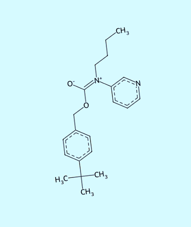 CCCC[N+](=C([O-])OCc1ccc(C(C)(C)C)cc1)c1cccnc1